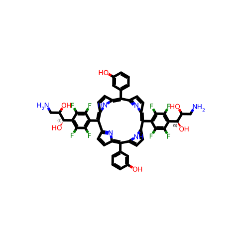 NCC(O)[C@@H](O)c1c(F)c(F)c(-c2c3nc(c(-c4cccc(O)c4)c4ccc([nH]4)c(-c4c(F)c(F)c([C@H](O)C(O)CN)c(F)c4F)c4nc(c(-c5cccc(O)c5)c5ccc2[nH]5)C=C4)C=C3)c(F)c1F